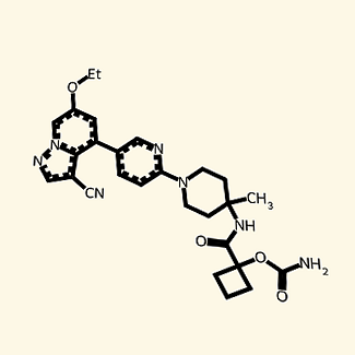 CCOc1cc(-c2ccc(N3CCC(C)(NC(=O)C4(OC(N)=O)CCC4)CC3)nc2)c2c(C#N)cnn2c1